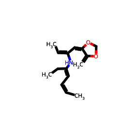 C=C1OCO/C1=C/C(=C\C)N/C(=C/C=C\C)CC